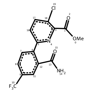 COC(=O)c1nc(-c2ccc(C(F)(F)F)cc2C(N)=O)ccc1Cl